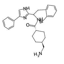 NC[C@H]1CC[C@H](C(=O)NC(Cc2ccccc2Br)c2nc(-c3ccccc3)c[nH]2)CC1